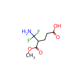 COC(=O)C(CCC(=O)O)C(N)(F)F